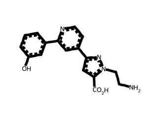 NCCn1nc(-c2ccnc(-c3cccc(O)c3)c2)cc1C(=O)O